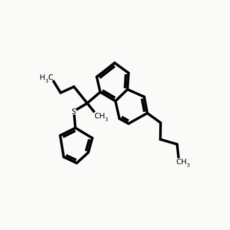 CCCCc1ccc2c(C(C)(CCC)Sc3ccccc3)cccc2c1